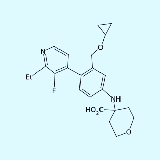 CCc1nccc(-c2ccc(NC3(C(=O)O)CCOCC3)cc2COC2CC2)c1F